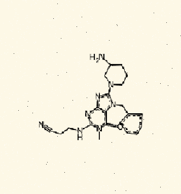 Cn1c(NCCC#N)nc2nc(N3CCCC(N)C3)n(Cc3ccccc3)c2c1=O